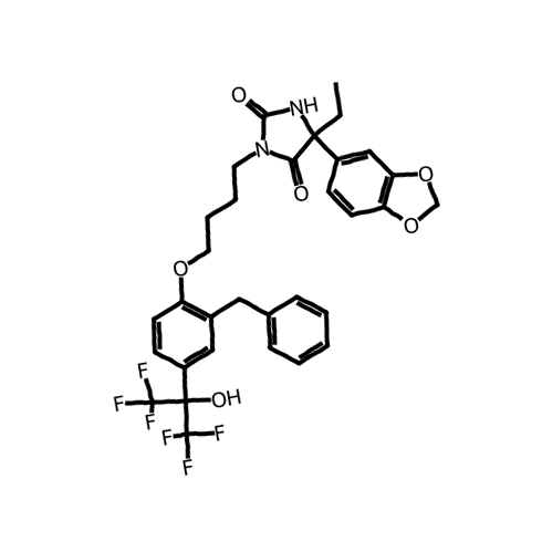 CCC1(c2ccc3c(c2)OCO3)NC(=O)N(CCCCOc2ccc(C(O)(C(F)(F)F)C(F)(F)F)cc2Cc2ccccc2)C1=O